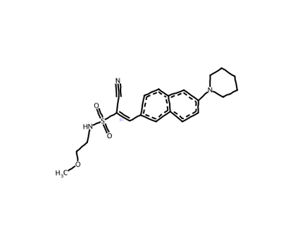 COCCNS(=O)(=O)/C(C#N)=C/c1ccc2cc(N3CCCCC3)ccc2c1